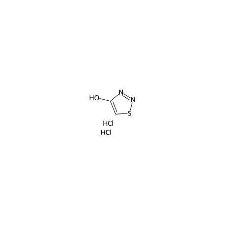 Cl.Cl.Oc1csnn1